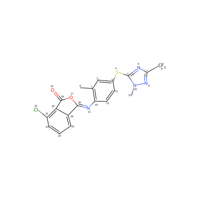 Cc1cc(Sc2nc(C(F)(F)F)nn2C)ccc1N=C1OC(=O)c2c(Cl)cccc21